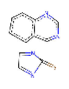 S=C1N=CC=N1.c1ccc2ncncc2c1